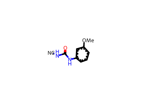 COc1cccc(NC(=O)NC#N)c1